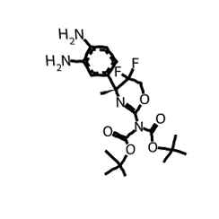 CC(C)(C)OC(=O)N(C(=O)OC(C)(C)C)C1=N[C@](C)(c2ccc(N)c(N)c2)C(F)(F)CO1